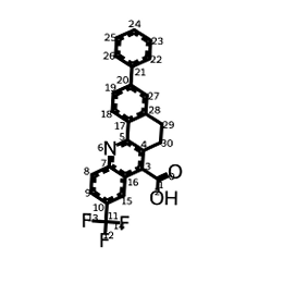 O=C(O)c1c2c(nc3ccc(C(F)(F)F)cc13)-c1ccc(-c3ccccc3)cc1CC2